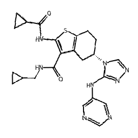 O=C(NCC1CC1)c1c(NC(=O)C2CC2)sc2c1C[C@@H](n1cnnc1Nc1cncnc1)CC2